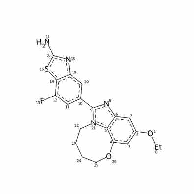 CCOc1cc2c3c(c1)nc(-c1cc(F)c4sc(N)nc4c1)n3CCCCO2